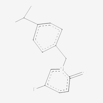 CC(C)c1ccc(Cn2cc(F)ccc2=O)cc1